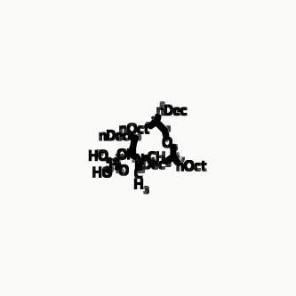 CCCCCCCCCCC(CCCCCCCC)COCC(CCCCCCCC)CCCCCCCCCC.CCCCCCCCCCCCN(C)C.O=P(O)(O)O